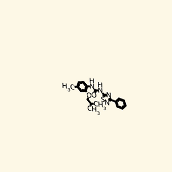 Cc1ccc(NC(=O)Nc2nc(-c3ccccc3)ns2)c(OCC(C)C)c1